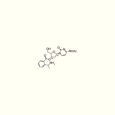 CC(=O)Nc1ccn([C@H]2C[C@@H](OC(=O)c3ccccc3C(C)N)C(CO)O2)c(=O)n1